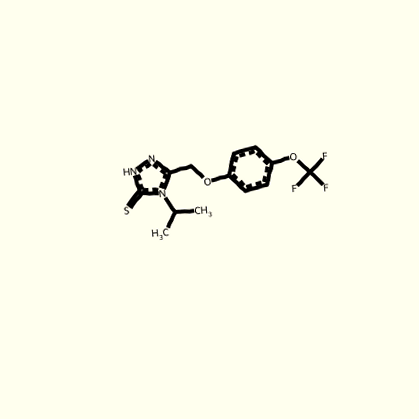 CC(C)n1c(COc2ccc(OC(F)(F)F)cc2)n[nH]c1=S